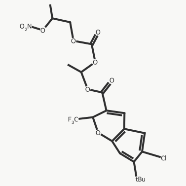 CC(COC(=O)OC(C)OC(=O)C1=Cc2cc(Cl)c(C(C)(C)C)cc2OC1C(F)(F)F)O[N+](=O)[O-]